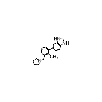 Cc1c(CN2CCCC2)cccc1-c1ccc2c(c1)NCN2